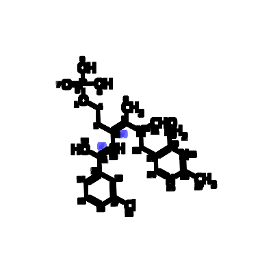 C/C(=C(CCOP(=O)(O)O)/[SH]=C(\O)c1cccc(Cl)c1)N(C=O)Cc1cnc(C)nc1N